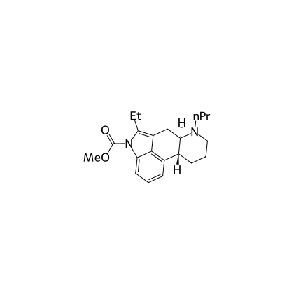 CCCN1CCC[C@@H]2c3cccc4c3c(c(CC)n4C(=O)OC)C[C@H]21